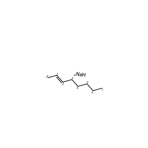 [CH2]C=CCCCCC.[NaH]